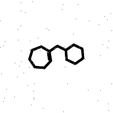 [CH]1CCCC=C(CC2CCCCC2)C1